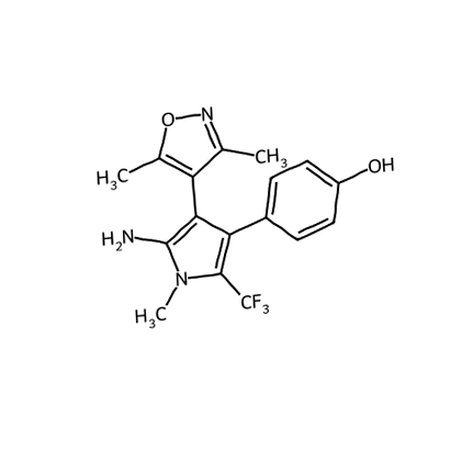 Cc1noc(C)c1-c1c(-c2ccc(O)cc2)c(C(F)(F)F)n(C)c1N